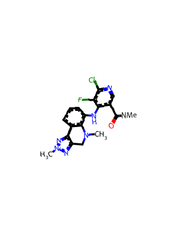 CNC(=O)c1cnc(Cl)c(F)c1Nc1cccc2c1N(C)Cc1nn(C)nc1-2